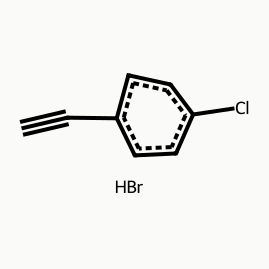 Br.C#Cc1ccc(Cl)cc1